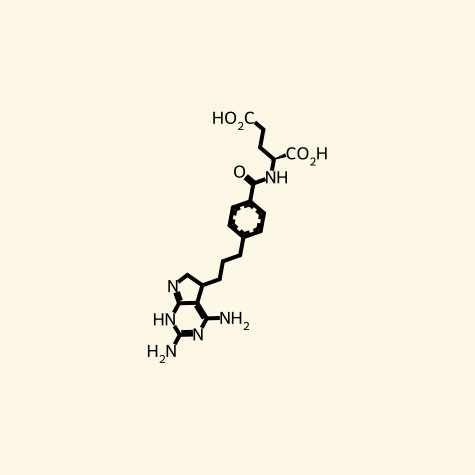 NC1=NC(N)=C2C(=NCC2CCCc2ccc(C(=O)N[C@@H](CCC(=O)O)C(=O)O)cc2)N1